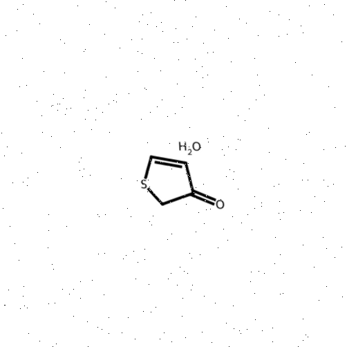 O.O=C1C=CSC1